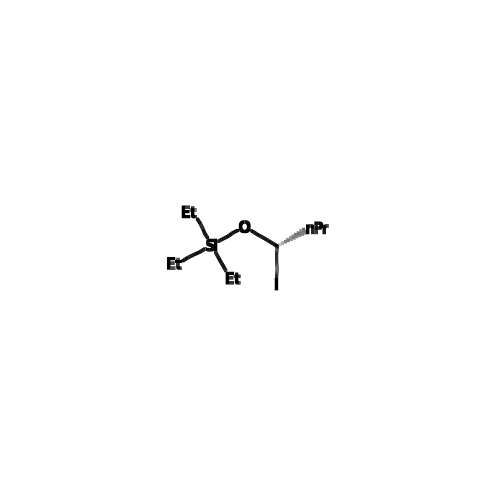 CCC[C@H](I)O[Si](CC)(CC)CC